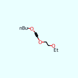 CCCCOC#COCCOCC